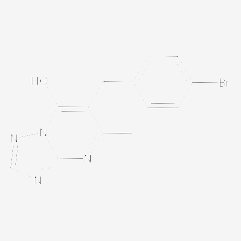 Cc1nc2ncnn2c(O)c1Cc1ccc(Br)cc1